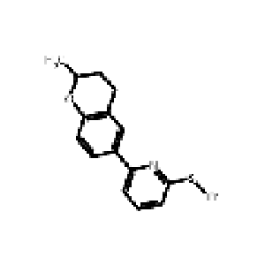 CC1CCc2cc(-c3cccc(SC(C)C)n3)ccc2O1